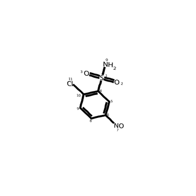 NS(=O)(=O)c1cc(N=O)ccc1Cl